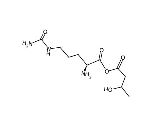 CC(O)CC(=O)OC(=O)[C@@H](N)CCCNC(N)=O